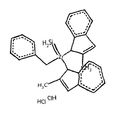 CC1=Cc2ccccc2[CH]1[Zr](=[SiH2])([CH2]c1ccccc1)[CH]1C(C)=Cc2ccccc21.Cl.Cl